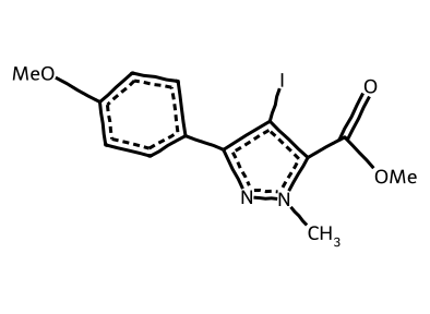 COC(=O)c1c(I)c(-c2ccc(OC)cc2)nn1C